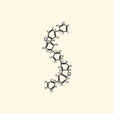 c1ccc(-c2ccc3oc4ccc(-c5ccc(-c6ccc7oc8ccc(-c9ccccc9)cc8c7c6)cc5)cc4c3c2)cc1